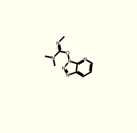 C/N=C(\On1nnc2cccnc21)N(C)C